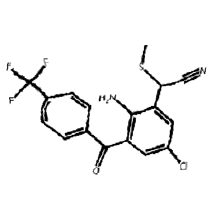 CSC(C#N)c1cc(Cl)cc(C(=O)c2ccc(C(F)(F)F)cc2)c1N